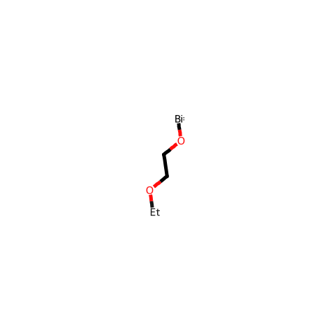 CCOCC[O][Bi]